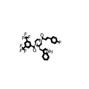 O=C(C=Cc1ccc(F)cc1)N1CCN(C(=O)c2cc(C(F)(F)F)cc(C(F)(F)F)c2)[C@H](Cc2c[nH]c3ccccc23)C1